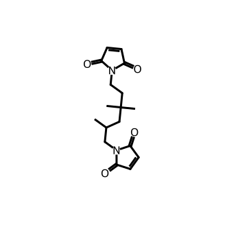 CC(CN1C(=O)C=CC1=O)CC(C)(C)CCN1C(=O)C=CC1=O